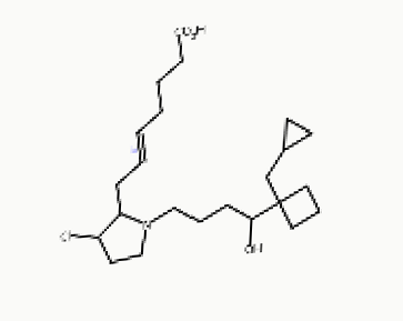 O=C(O)CCC/C=C/CC1C(Cl)CCN1CCCC(O)C1(CC2CC2)CCC1